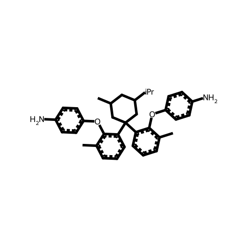 Cc1cccc(C2(c3cccc(C)c3Oc3ccc(N)cc3)CC(C)CC(C(C)C)C2)c1Oc1ccc(N)cc1